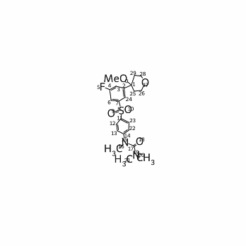 COC1(c2cc(F)cc(S(=O)(=O)c3ccc(N(C)C(=O)N(C)C)cc3)c2)CCOCC1